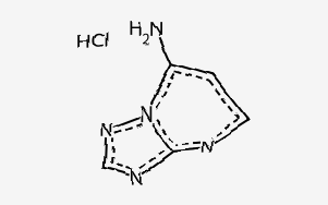 Cl.Nc1ccnc2ncnn12